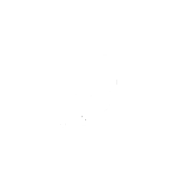 CCOc1c(F)ccc2[nH]c(=O)oc(=O)c12